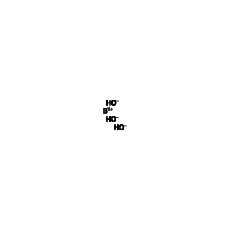 [B+3].[OH-].[OH-].[OH-]